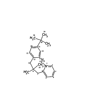 C[n+]1ccccc1CC(C)(C)Cc1ccc(C(C)(C)C)cc1